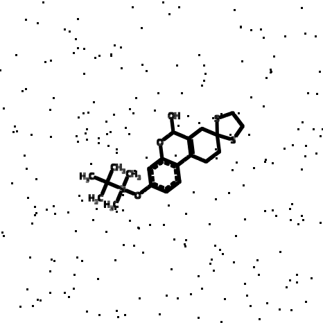 CC(C)(C)[Si](C)(C)Oc1ccc2c(c1)OC(O)C1=C2CCC2(C1)SCCS2